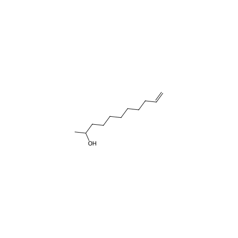 C=CCCCCCCCC(C)O